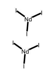 [I][Nd]([I])[I].[I][Nd]([I])[I]